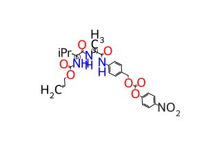 C=CCOC(=O)N[C@H](C(=O)N[C@@H](C)C(=O)Nc1ccc(COC(=O)Oc2ccc([N+](=O)[O-])cc2)cc1)C(C)C